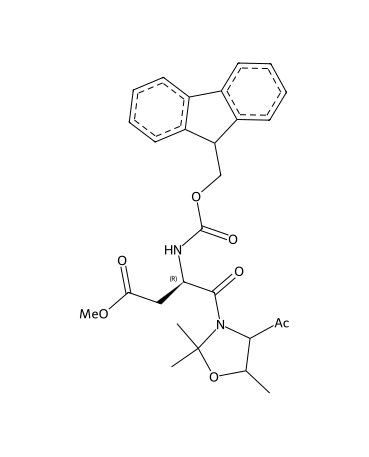 COC(=O)C[C@@H](NC(=O)OCC1c2ccccc2-c2ccccc21)C(=O)N1C(C(C)=O)C(C)OC1(C)C